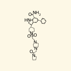 NC(=O)c1cc(-c2ccccc2)cc2c(C3CCN(S(=O)(=O)CCN4CCN(CC(=O)N5CCCC5)CC4)CC3)c[nH]c12